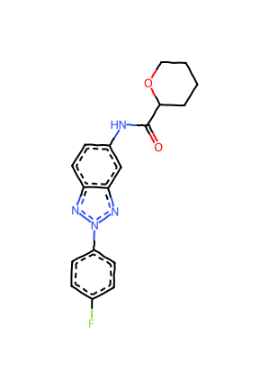 O=C(Nc1ccc2nn(-c3ccc(F)cc3)nc2c1)C1CCCCO1